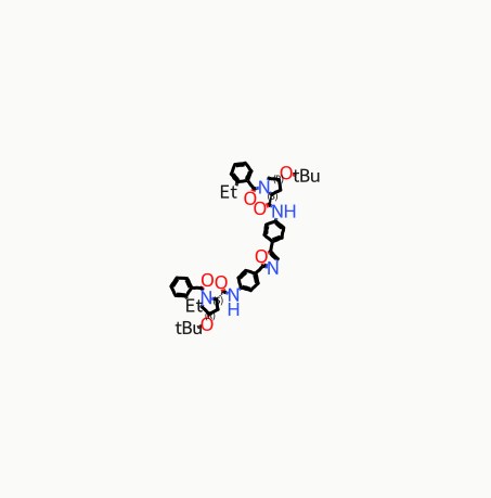 CCc1ccccc1C(=O)N1C[C@H](OC(C)(C)C)C[C@H]1C(=O)Nc1ccc(-c2cnc(-c3ccc(NC(=O)[C@@H]4C[C@@H](OC(C)(C)C)CN4C(=O)c4ccccc4CC)cc3)o2)cc1